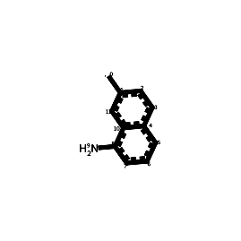 [CH2]c1ccc2cccc(N)c2c1